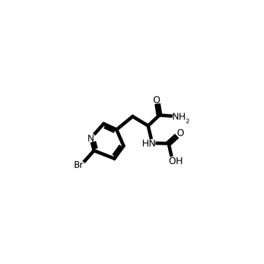 NC(=O)C(Cc1ccc(Br)nc1)NC(=O)O